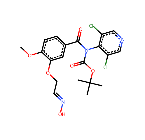 COc1ccc(C(=O)N(C(=O)OC(C)(C)C)c2c(Cl)cncc2Cl)cc1OCC=NO